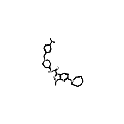 CC(C)c1ccc(CN2CCC(NC(=O)c3nn(C)c4nc(N5CCCCCC5)ccc34)CC2)cc1